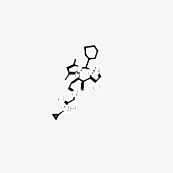 Cc1cc(C)n(C(C2CCCCC2)n2nccc2-c2ccc[n+](CC(=O)NC3CC3)c2)n1.[Cl-]